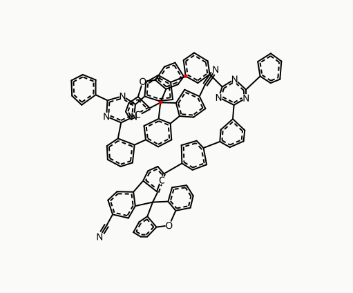 N#Cc1ccc2c(c1)C1(c3ccccc3Oc3ccccc31)c1cc(-c3ccc(-c4cccc(-c5nc(-c6ccccc6)nc(-c6cccc(-c7ccc(-c8nc(-c9ccccc9)nc(-c9ccccc9-c9ccc%10c(c9)C9(c%11ccccc%11Oc%11ccccc%119)c9cc(C#N)ccc9-%10)n8)cc7)c6)n5)c4)cc3)ccc1-2